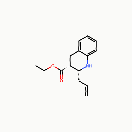 C=CC[C@H]1Nc2ccccc2C[C@H]1C(=O)OCC